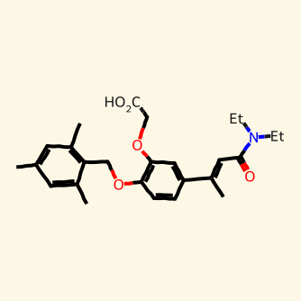 CCN(CC)C(=O)C=C(C)c1ccc(OCc2c(C)cc(C)cc2C)c(OCC(=O)O)c1